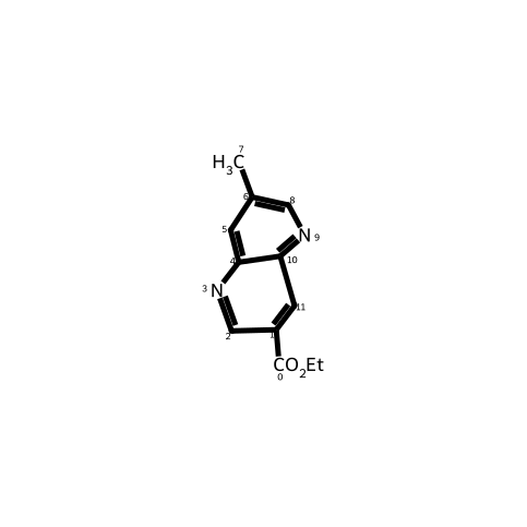 CCOC(=O)c1cnc2cc(C)cnc2c1